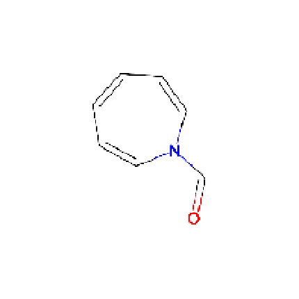 O=CN1C=CC=CC=C1